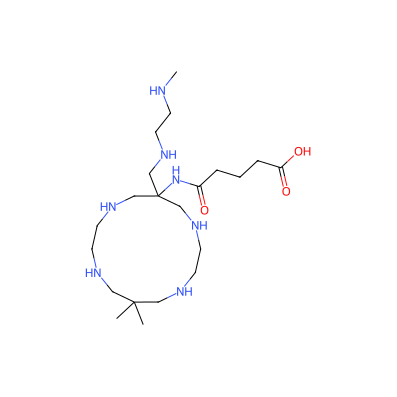 CNCCNCC1(NC(=O)CCCC(=O)O)CNCCNCC(C)(C)CNCCNC1